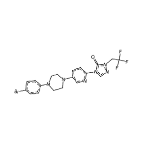 O=c1n(-c2ccc(N3CCN(c4ccc(Br)cc4)CC3)cn2)cnn1CC(F)(F)F